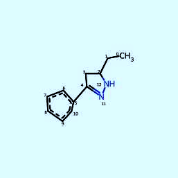 CCC1CC(c2ccccc2)=NN1